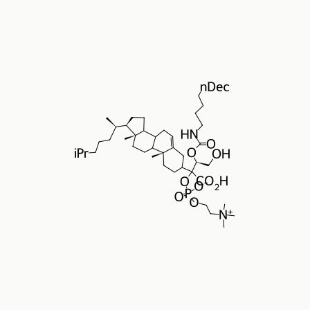 CCCCCCCCCCCCCCNC(=O)O[C@@H](CO)C(OP(=O)([O-])OCC[N+](C)(C)C)(C(=O)O)C1CC[C@@]2(C)C(=CCC3C2CC[C@@]2(C)C3CC[C@@H]2[C@H](C)CCCC(C)C)C1